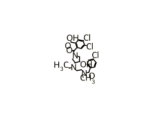 CCN(CCN(C)C(=O)c1ccc(Cl)cc1)[C@@H]1CN(C(=O)c2cc(Cl)c(Cl)cc2C(=O)O)C[C@H]1O